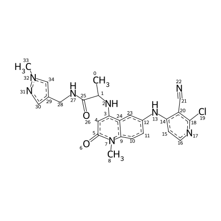 CC(Nc1cc(=O)n(C)c2ccc(Nc3ccnc(Cl)c3C#N)cc12)C(=O)NCc1cnn(C)c1